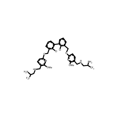 COc1nc(OCc2cccc(-c3cccc(COc4ccc(CNCC(N)C(F)(F)F)c(OC)n4)c3Cl)c2Cl)ccc1CNCC(N)C(F)(F)F